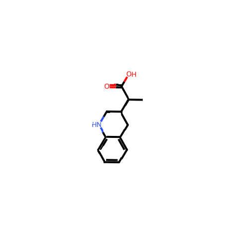 CC(C(=O)O)C1CNc2ccccc2C1